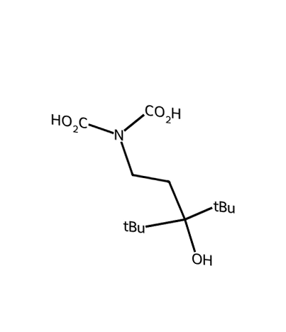 CC(C)(C)C(O)(CCN(C(=O)O)C(=O)O)C(C)(C)C